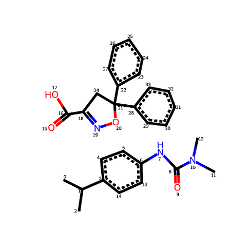 CC(C)c1ccc(NC(=O)N(C)C)cc1.O=C(O)C1=NOC(c2ccccc2)(c2ccccc2)C1